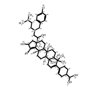 CC(C)C1=C2[C@H]3CC[C@@H]4[C@@]5(C)CC=C(C6=CCC(C(O)O)CC6)C(C)(C)[C@@H]5CC[C@@]4(C)[C@]3(C)CC[C@@]2(C(O)CN(CCN(C)C)Cc2ccc(Cl)cc2)CC1O